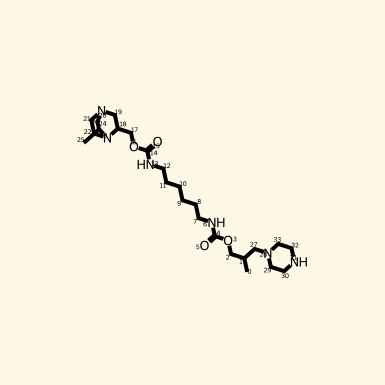 CC(COC(=O)NCCCCCCNC(=O)OCC1CN2CCN1C(C)C2)CN1CCNCC1